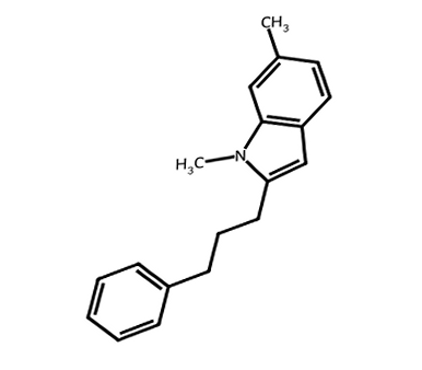 Cc1ccc2cc(CCCc3ccccc3)n(C)c2c1